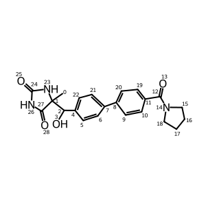 CC1(C(O)c2ccc(-c3ccc(C(=O)N4CCCC4)cc3)cc2)NC(=O)NC1=O